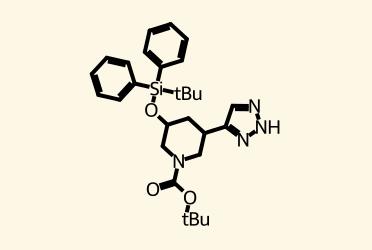 CC(C)(C)OC(=O)N1CC(O[Si](c2ccccc2)(c2ccccc2)C(C)(C)C)CC(c2cn[nH]n2)C1